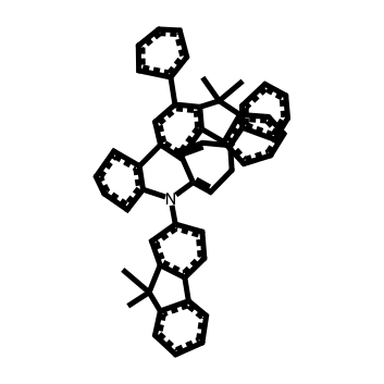 CC1(C)c2ccccc2-c2ccc(N(C3=CCC(c4ccccc4)C=C3)c3ccccc3-c3cc(-c4ccccc4)c4c(c3)-c3ccccc3C4(C)C)cc21